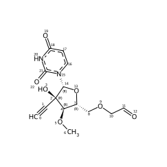 C#C[C@@]1(O)[C@H](OC)[C@@H](COCC=O)O[C@H]1n1ccc(=O)[nH]c1=O